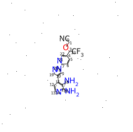 N#CCOC(c1ccc(-n2cc(-c3ccnc(N)c3N)cn2)nc1)C(F)(F)F